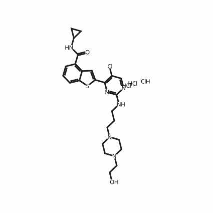 Cl.Cl.Cl.O=C(NC1CC1)c1cccc2sc(-c3nc(NCCCN4CCN(CCO)CC4)ncc3Cl)cc12